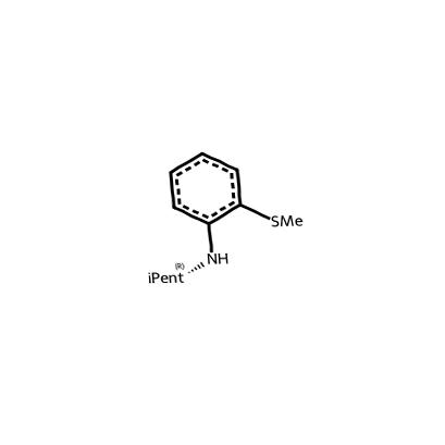 CCC[C@@H](C)Nc1ccccc1SC